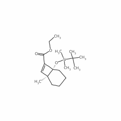 CCOC(=O)C1=C[C@]2(C)CCCC[C@]12O[Si](C)(C)C(C)(C)C